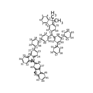 CC1(C)c2ccccc2-c2cc(C(c3ccc(-c4cccc(-c5ccc6c(c5)c5ccccc5n6-c5ccc6c(c5)sc5ccccc56)c4)cc3)c3cc(-c4ccccc4)cc(-c4ccccc4)c3)ccc21